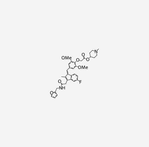 COc1cc(/C=C2/C(C)=C(CC(=O)NCc3ccco3)c3cc(F)ccc32)cc(OC)c1OCC(=O)OC1CCN(C)CC1